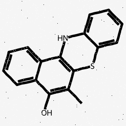 Cc1c2c(c3ccccc3c1O)Nc1ccccc1S2